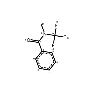 CN(C(=O)c1ccccc1)C(F)(F)F